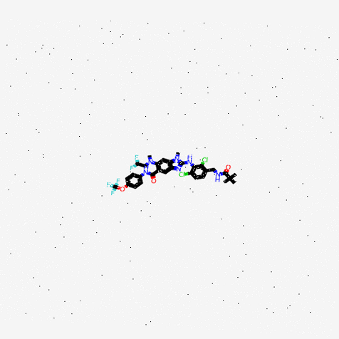 CN(CC(F)F)c1cc2c(cc1C(=O)Nc1ccc(OC(F)(F)F)cc1)nc(Nc1c(Cl)ccc(CNC(=O)C(C)(C)C)c1Cl)n2C